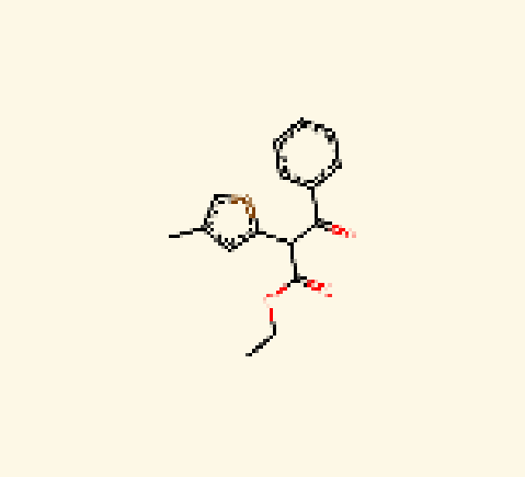 CCOC(=O)C(C(=O)c1ccccc1)c1cc(C)cs1